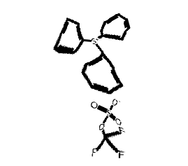 O=S(=O)([O-])OC(F)(F)F.c1ccc([S+](c2ccccc2)c2ccccc2)cc1